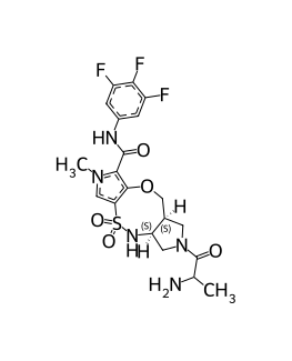 CC(N)C(=O)N1C[C@@H]2COc3c(cn(C)c3C(=O)Nc3cc(F)c(F)c(F)c3)S(=O)(=O)N[C@@H]2C1